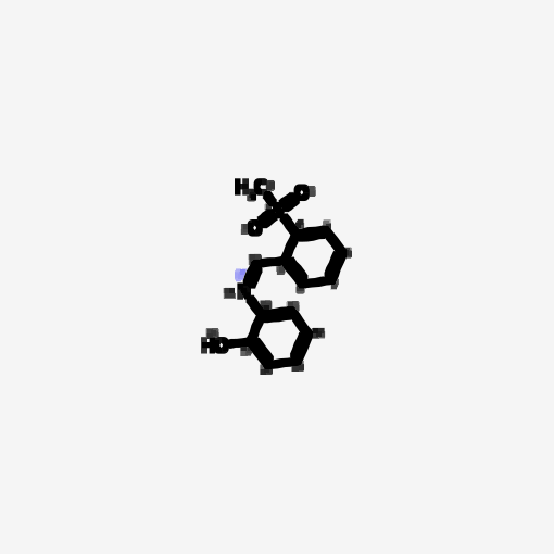 CS(=O)(=O)c1ccccc1/C=N\c1ccccc1O